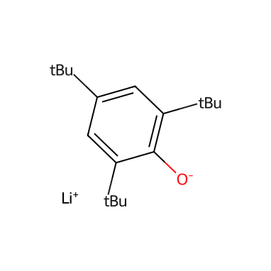 CC(C)(C)c1cc(C(C)(C)C)c([O-])c(C(C)(C)C)c1.[Li+]